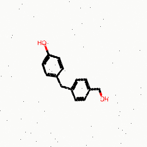 OCc1ccc(Cc2ccc(O)cc2)cc1